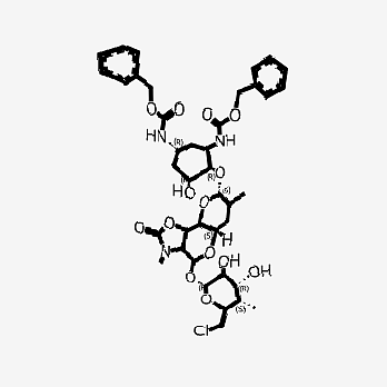 CC1C[C@@H]2OC(O[C@H]3OC(CCl)[C@@H](C)[C@@H](O)C3O)C3C(OC(=O)N3C)C2O[C@@H]1O[C@@H]1C(NC(=O)OCc2ccccc2)C[C@@H](NC(=O)OCc2ccccc2)C[C@H]1O